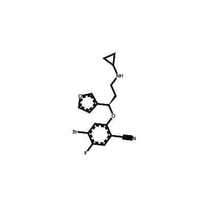 N#Cc1cc(F)c(Br)cc1O[C@H](CCNC1CC1)c1ccoc1